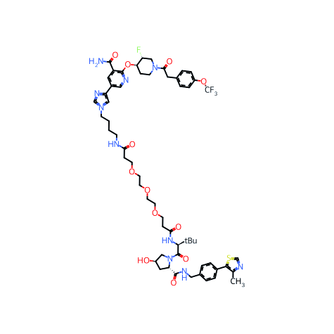 Cc1ncsc1-c1ccc(CNC(=O)[C@@H]2C[C@@H](O)CN2C(=O)[C@@H](NC(=O)CCOCCOCCOCCC(=O)NCCCCn2cnc(-c3cnc(O[C@@H]4CCN(C(=O)Cc5ccc(OC(F)(F)F)cc5)C[C@H]4F)c(C(N)=O)c3)c2)C(C)(C)C)cc1